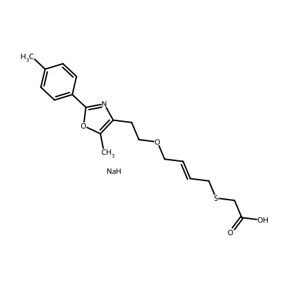 Cc1ccc(-c2nc(CCOCC=CCSCC(=O)O)c(C)o2)cc1.[NaH]